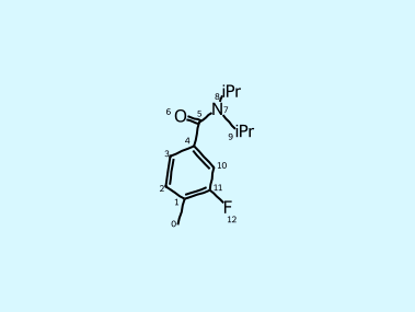 Cc1ccc(C(=O)N(C(C)C)C(C)C)cc1F